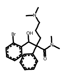 CN(C)CCCC(C(=O)N(C)C)(c1ccccc1)C(O)c1ccccc1Br